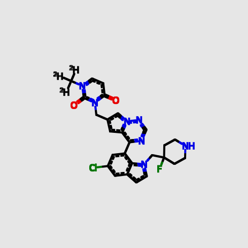 [2H]C([2H])([2H])n1ccc(=O)n(Cc2cc3c(-c4cc(Cl)cc5ccn(CC6(F)CCNCC6)c45)ncnn3c2)c1=O